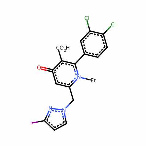 CCn1c(Cn2ccc(I)n2)cc(=O)c(C(=O)O)c1-c1ccc(Cl)c(Cl)c1